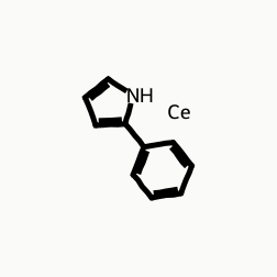 [Ce].c1ccc(-c2ccc[nH]2)cc1